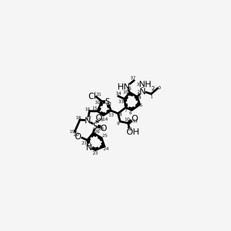 CCN(N)c1ccc(C(CC(=O)O)c2cc(CN3CCOc4ncccc4S3(=O)=O)c(Cl)s2)c(C)c1NC